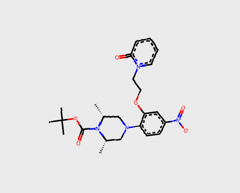 C[C@@H]1CN(c2ccc([N+](=O)[O-])cc2OCCn2ccccc2=O)C[C@H](C)N1C(=O)OC(C)(C)C